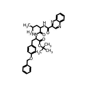 CC(C)CC(NC(=O)c1cnc2ccccc2n1)C(=O)NC(Cc1ccc(OCc2ccccc2)cc1)C(=O)OC(C)(C)C